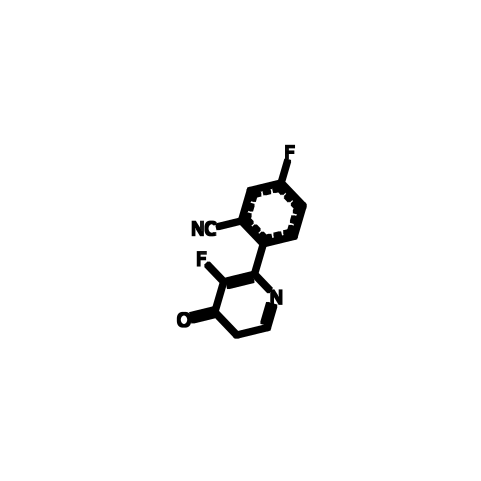 N#Cc1cc(F)ccc1C1=C(F)C(=O)CC=N1